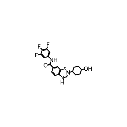 O=C(Nc1cc(F)c(F)c(F)c1)c1ccc2c(c1)SN(C1CCC(O)CC1)CN2